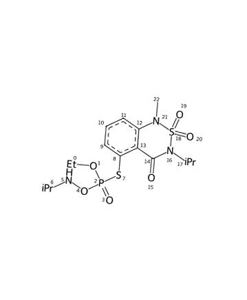 CCOP(=O)(ONC(C)C)Sc1cccc2c1C(=O)N(C(C)C)S(=O)(=O)N2C